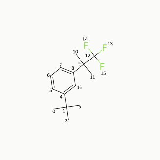 CC(C)(C)c1cccc(C(C)(C)C(F)(F)F)c1